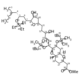 C=C=C(C)C[C@H](CCC1OC(CCC(O)/C=C/[C@H](O[Si](C)(C)C(C)(C)C)[C@@H]2O[C@H]3CCC(CC(=O)OC)O[C@@H]3CC2O[Si](C)(C)C(C)(C)C)CC1=C)O[Si](CC)(CC)CC